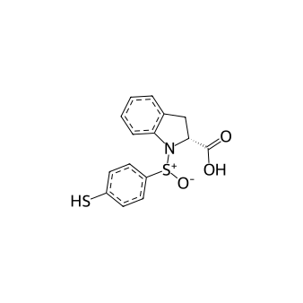 O=C(O)[C@H]1Cc2ccccc2N1[S+]([O-])c1ccc(S)cc1